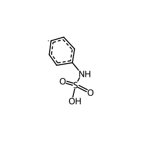 O=S(=O)(O)Nc1cc[c]cc1